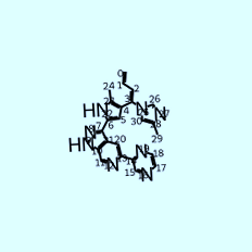 C=C/C=C(\c1cc(-c2n[nH]c3cnc(-c4cnccn4)cc23)[nH]c1C)n1cnc(C)c1